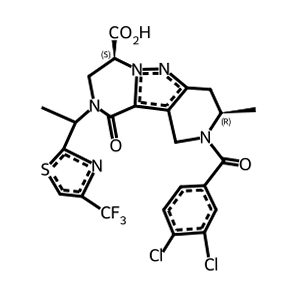 CC(c1nc(C(F)(F)F)cs1)N1C[C@@H](C(=O)O)n2nc3c(c2C1=O)CN(C(=O)c1ccc(Cl)c(Cl)c1)[C@H](C)C3